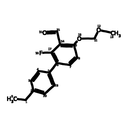 CCc1ccc(-c2ccc(OCOC)c(C=O)c2F)cc1